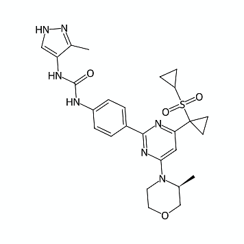 Cc1n[nH]cc1NC(=O)Nc1ccc(-c2nc(N3CCOC[C@@H]3C)cc(C3(S(=O)(=O)C4CC4)CC3)n2)cc1